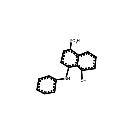 O=S(=O)(O)c1ccc(Nc2ccccc2)c2c(O)cccc12